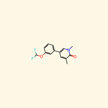 Cc1cc(-c2cccc(OC(F)F)c2)cn(C)c1=O